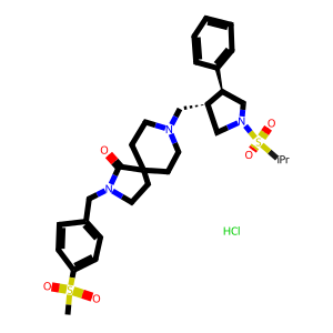 CC(C)S(=O)(=O)N1C[C@H](CN2CCC3(CC2)CCN(Cc2ccc(S(C)(=O)=O)cc2)C3=O)[C@@H](c2ccccc2)C1.Cl